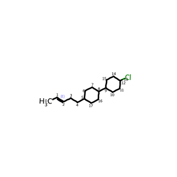 C/C=C/CCC1CCC(C2CCC(Cl)CC2)CC1